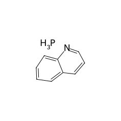 P.c1ccc2ncccc2c1